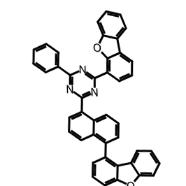 c1ccc(-c2nc(-c3cccc4c(-c5cccc6oc7ccccc7c56)cccc34)nc(-c3cccc4c3oc3ccccc34)n2)cc1